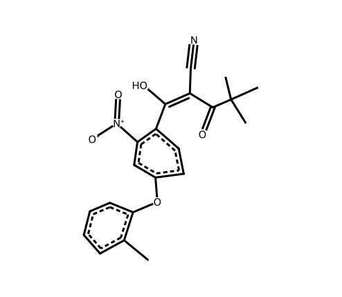 Cc1ccccc1Oc1ccc(C(O)=C(C#N)C(=O)C(C)(C)C)c([N+](=O)[O-])c1